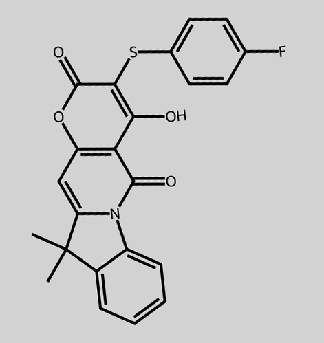 CC1(C)c2ccccc2-n2c1cc1oc(=O)c(Sc3ccc(F)cc3)c(O)c1c2=O